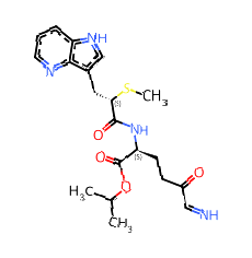 CS[C@@H](Cc1c[nH]c2cccnc12)C(=O)N[C@@H](CCC(=O)C=N)C(=O)OC(C)C